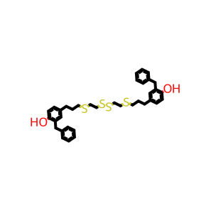 Oc1ccc(CCCSCCSSCCSCCCc2ccc(O)c(Cc3ccccc3)c2)cc1Cc1ccccc1